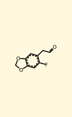 O=CCc1cc2c(cc1F)OCO2